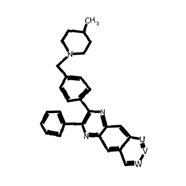 CC1CCN(Cc2ccc(-c3nc4c[c]5c(cc4nc3-c3ccccc3)[CH]=[W][V]=[U]5)cc2)CC1